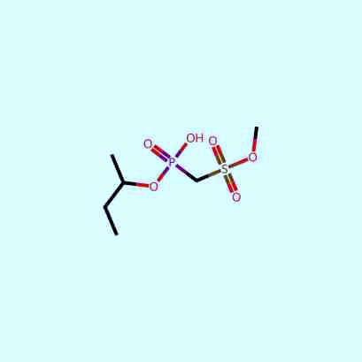 CCC(C)OP(=O)(O)CS(=O)(=O)OC